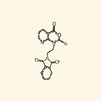 O=C1c2ccccc2C(=O)N1CCn1c(=O)oc(=O)c2cccnc21